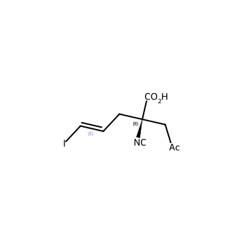 [C-]#[N+][C@](C/C=C/I)(CC(C)=O)C(=O)O